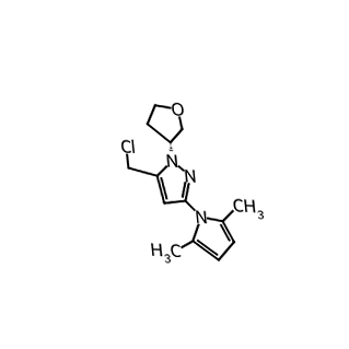 Cc1ccc(C)n1-c1cc(CCl)n([C@@H]2CCOC2)n1